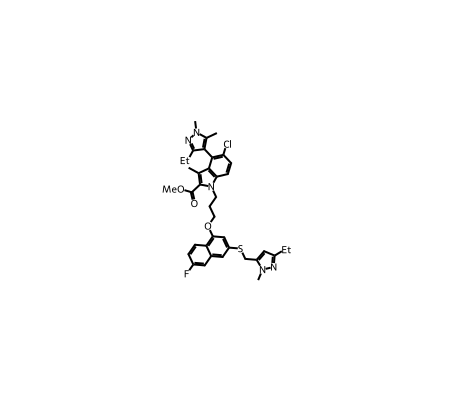 CCc1cc(CSc2cc(OCCCn3c(C(=O)OC)c(C)c4c(-c5c(CC)nn(C)c5C)c(Cl)ccc43)c3ccc(F)cc3c2)n(C)n1